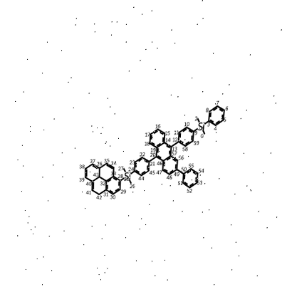 C[Si](C)(c1ccccc1)c1ccc(-c2c3ccccc3c(-c3ccc([Si](C)(C)c4ccc5c6c4C=CC4=CC=CC(=CC5)C46)cc3)c3ccc(-c4ccccc4)cc23)cc1